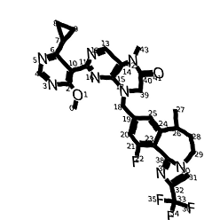 COc1ncnc(C2CC2)c1-c1ncc2c(n1)N(Cc1cc(F)c3c(c1)C(C)CCn1cc(C(F)(F)F)nc1-3)CC(=O)N2C